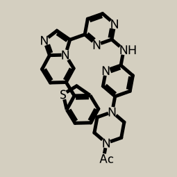 CC(=O)N1CCN(c2ccc(Nc3nccc(-c4cnc5ccc(-c6c7cccc6SC7)cn45)n3)nc2)CC1